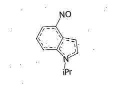 CC(C)n1ccc2c(N=O)cccc21